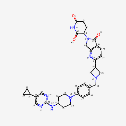 O=C1CCC(N2Cc3nc(C4CN(Cc5ccc(N6CCC(Nc7ncc(C8CC8)cn7)CC6)cc5)C4)ccc3C2=O)C(=O)N1